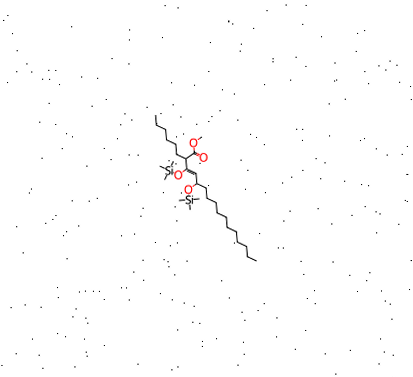 CCCCCCCCCCCC(C=C(O[Si](C)(C)C)C(CCCCCC)C(=O)OC)O[Si](C)(C)C